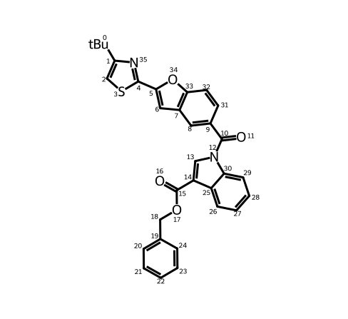 CC(C)(C)c1csc(-c2cc3cc(C(=O)n4cc(C(=O)OCc5ccccc5)c5ccccc54)ccc3o2)n1